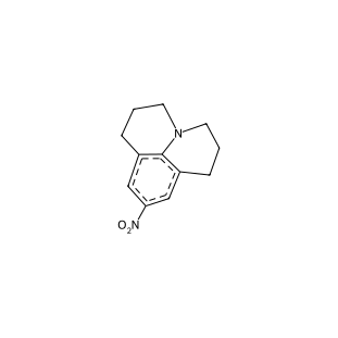 O=[N+]([O-])c1cc2c3c(c1)CCCN3CCC2